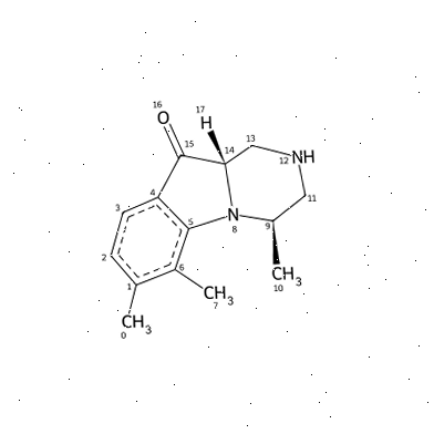 Cc1ccc2c(c1C)N1[C@H](C)CNC[C@H]1C2=O